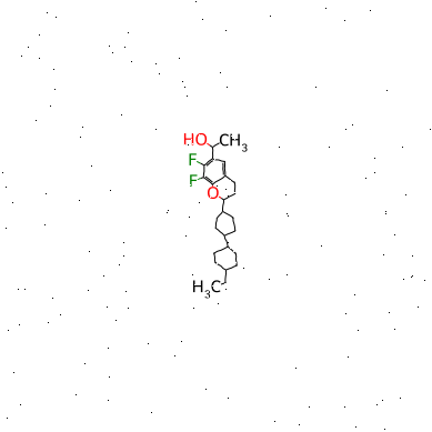 CCC1CCC(C2CCC(C3CCc4cc(C(C)O)c(F)c(F)c4O3)CC2)CC1